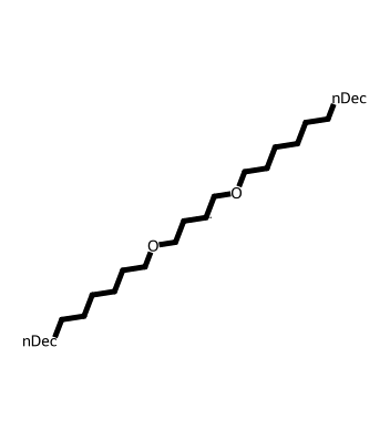 CCCCCCCCCCCCCCCCOC[CH]CCOCCCCCCCCCCCCCCCC